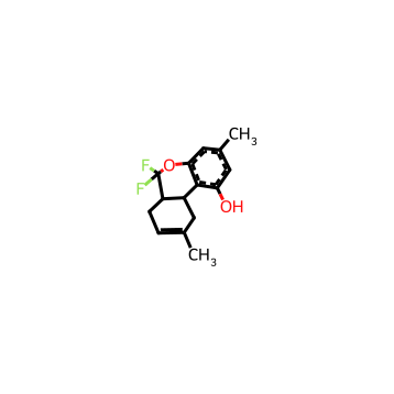 CC1=CCC2C(C1)c1c(O)cc(C)cc1OC2(F)F